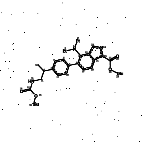 CCN(CC)c1c(-c2ccc(C(C)CNC(=O)OC(C)(C)C)cc2)ccc2c1cnn2C(=O)OC(C)(C)C